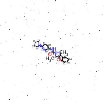 Cc1c([C@H](C)NC(=O)Nc2ccc(N3CCCC3)nc2)oc2ccccc12